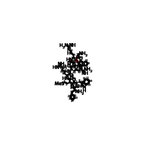 CSCC[C@H](NC(=O)[C@H](Cc1c[nH]c2ccccc12)NC(=O)[C@@H](N)Cc1ccccc1)C(=O)N[C@@H](CCCNC(=N)N)C(=O)N[C@@H](CCCNC(=N)N)C(=O)N[C@@H](CCCCN)C(=O)N[C@@H](CCCNC(=N)N)C(=O)N[C@H](C(=O)N1CCC[C@H]1C(=O)O)C(C)C